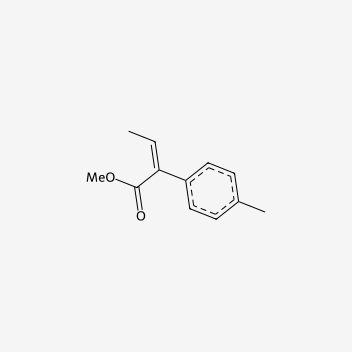 CC=C(C(=O)OC)c1ccc(C)cc1